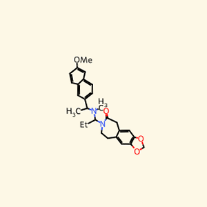 CCC(N1CCc2cc3c(cc2CC1=O)OCO3)N(C)C(C)c1ccc2cc(OC)ccc2c1